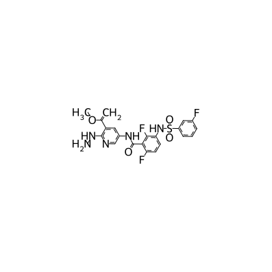 C=C(OC)c1cc(NC(=O)c2c(F)ccc(NS(=O)(=O)c3cccc(F)c3)c2F)cnc1NN